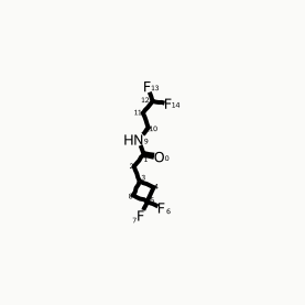 O=C(CC1CC(F)(F)C1)N[CH]CC(F)F